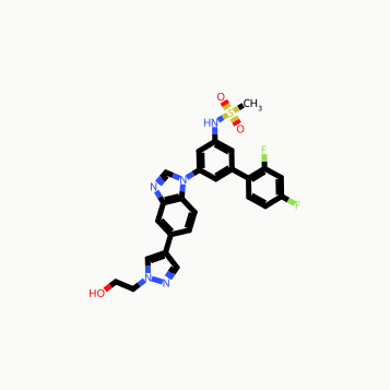 CS(=O)(=O)Nc1cc(-c2ccc(F)cc2F)cc(-n2cnc3cc(-c4cnn(CCO)c4)ccc32)c1